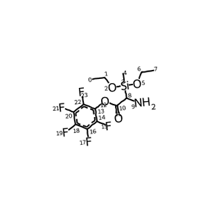 CCO[Si](C)(OCC)C(N)C(=O)Oc1c(F)c(F)c(F)c(F)c1F